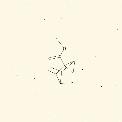 COC(=O)C12C(C)C3CC1C2C3C